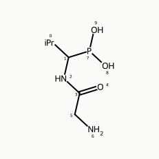 CC(C)C(NC(=O)CN)P(O)O